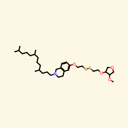 COC1COCC1OCCSSCCOc1ccc2c(c1)CCN(CCCC(C)CCCC(C)CCCC(C)C)C2